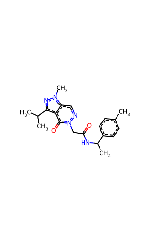 Cc1ccc(C(C)NC(=O)Cn2ncc3c(c(C(C)C)nn3C)c2=O)cc1